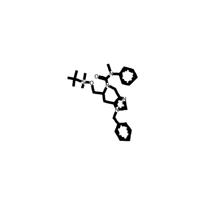 CN(C(=O)N1Cc2ncn(Cc3ccccc3)c2CC1CO[Si](C)(C)C(C)(C)C)c1ccccc1